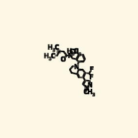 CC[C@H](C)CC(=O)N(C)Cc1c(C)cccc1N1CCCc2cc(-c3cnn(C)c3)c(C(F)F)cc21